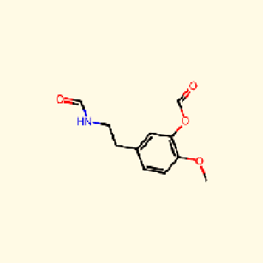 COc1ccc(CCNC=O)cc1OC=O